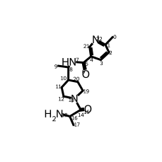 Cc1ccc(C(=O)NC(C)C2CCN(C(=O)C(C)N)CC2)cn1